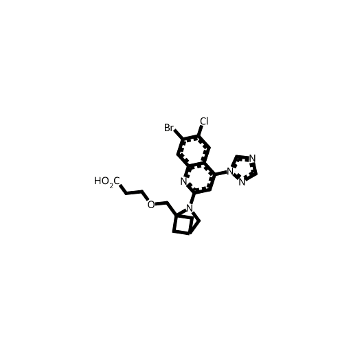 O=C(O)CCOCC12CC(CN1c1cc(-n3cncn3)c3cc(Cl)c(Br)cc3n1)C2